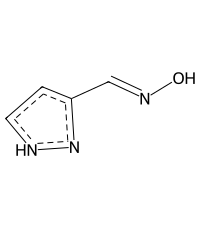 ON=Cc1cc[nH]n1